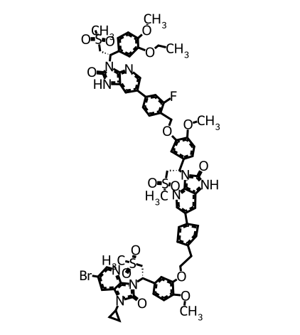 CCOc1cc([C@@H](CS(C)(=O)=O)n2c(=O)[nH]c3cc(-c4ccc(COc5cc([C@@H](CS(C)(=O)=O)n6c(=O)[nH]c7cc(-c8ccc(CCOc9cc([C@@H](CS(C)(=O)=O)n%10c(=O)n(C%11CC%11)c%11cc(Br)cnc%11%10)ccc9OC)cc8)cnc76)ccc5OC)c(F)c4)cnc32)ccc1OC